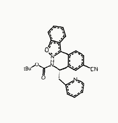 CC(C)(C)OC(=O)N[C@@H](Cc1ccccn1)c1cc(C#N)ccc1-c1noc2ccccc12